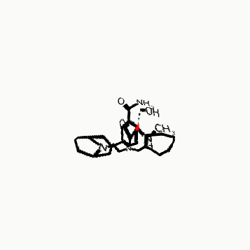 CN[C@@H](CO)C(=O)N(CCN1C2CCC1CC(c1cccc(C(N)=O)c1)C2)CC1CCCCC1